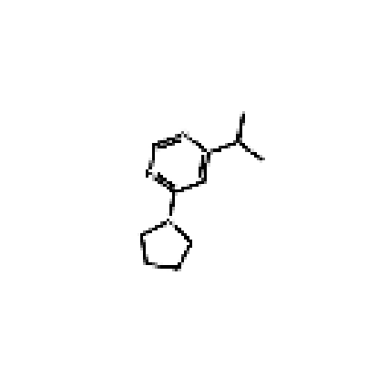 CC(C)c1cc(N2CCCC2)ncn1